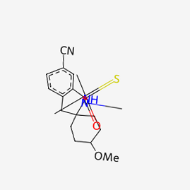 COC1CCC2(CC1)Cc1ccc(C#N)cc1C21NC(=S)N(C)C1=O